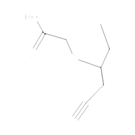 C#CCC(CC)OCC(=O)O